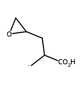 [CH2]C(CC1CO1)C(=O)O